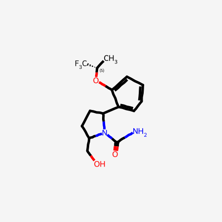 C[C@H](Oc1ccccc1C1CCC(CO)N1C(N)=O)C(F)(F)F